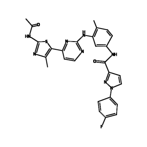 CC(=O)Nc1nc(C)c(-c2ccnc(Nc3cc(NC(=O)c4ccn(-c5ccc(F)cc5)n4)ccc3C)n2)s1